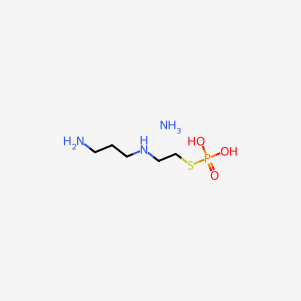 N.NCCCNCCSP(=O)(O)O